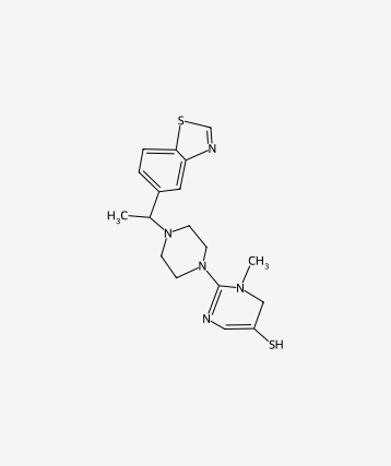 CC(c1ccc2scnc2c1)N1CCN(C2=NC=C(S)CN2C)CC1